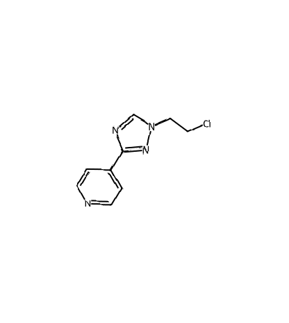 ClCCn1cnc(-c2ccncc2)n1